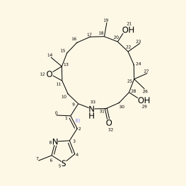 C/C(=C\c1csc(C)n1)C1CC2OC2(C)CCCC(C)C(O)C(C)CC(C)(C)C(O)CC(=O)N1